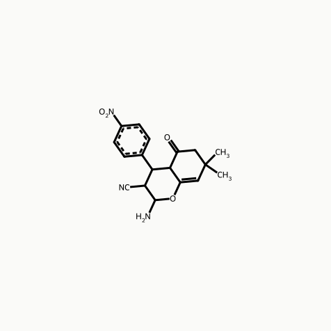 CC1(C)C=C2OC(N)C(C#N)C(c3ccc([N+](=O)[O-])cc3)C2C(=O)C1